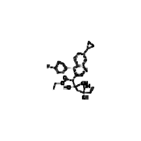 C=CC(O)(O)CC(O)(O)C(C(=O)OCC)c1cnc2cc(C3CC3)ccc2c1-c1ccc(F)cc1